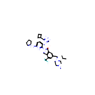 CC(C)[C@H]1CN(C)CCN1Cc1cc2c(c(C(F)(F)F)c1)CN(c1cc([C@]3(c4nncn4C)C[C@H](C)C3)cc(NC3CCCC3)n1)C2=O